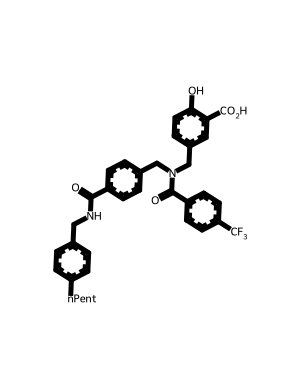 CCCCCc1ccc(CNC(=O)c2ccc(CN(Cc3ccc(O)c(C(=O)O)c3)C(=O)c3ccc(C(F)(F)F)cc3)cc2)cc1